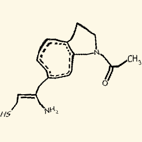 CC(=O)N1CCc2ccc(/C(N)=C/S)cc21